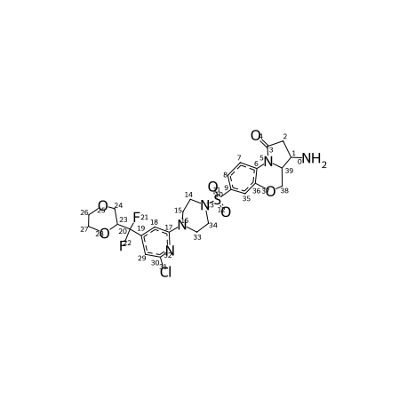 NC1CC(=O)N2c3ccc(S(=O)(=O)N4CCN(c5cc(C(F)(F)C6COCCO6)cc(Cl)n5)CC4)cc3OCC12